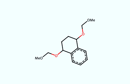 COCOC1CCC(OCOC)c2ccccc21